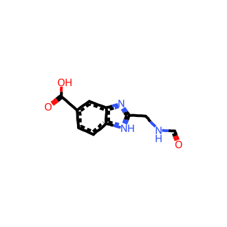 O=CNCc1nc2cc(C(=O)O)ccc2[nH]1